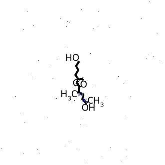 C/C(O)=C\C=C(/C)C1OCC(CCCCO)O1